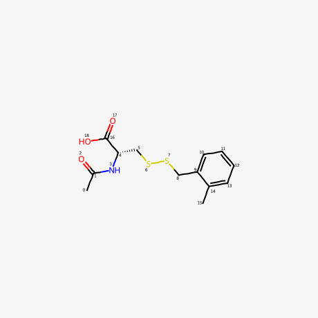 CC(=O)N[C@@H](CSSCc1ccccc1C)C(=O)O